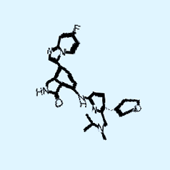 CC(C)N(C)Cc1nc(Nc2ccc(-c3cnc4cc(F)ccn34)c3c2C(=O)NC3)ccc1[C@@H]1CCOC1